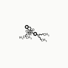 CCCCN(CCCC)c1ccc(NC(=O)C2(NC(=O)OCC(C)C)CCc3ccccc3C2)cc1